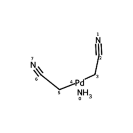 N.N#C[CH2][Pd][CH2]C#N